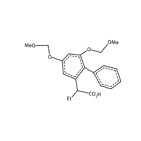 CCC(C(=O)O)c1cc(OCOC)cc(OCOC)c1-c1ccccc1